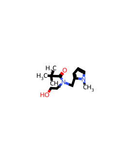 Cn1cccc1CN(CCO)C(=O)C(C)(C)C